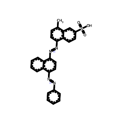 Cc1ccc(/N=N/c2ccc(/N=N/c3ccccc3)c3ccccc23)c2ccc(S(=O)(=O)O)cc12